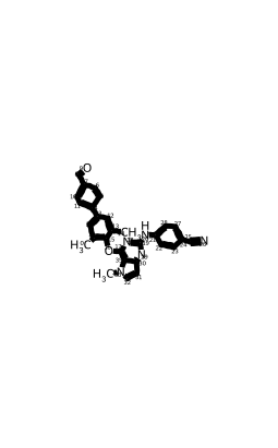 Cc1cc(-c2ccc(C=O)cc2)cc(C)c1Oc1nc(Nc2ccc(C#N)cc2)nc2ccn(C)c12